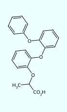 CC(Oc1ccccc1Oc1ccccc1Oc1ccccc1)C(=O)O